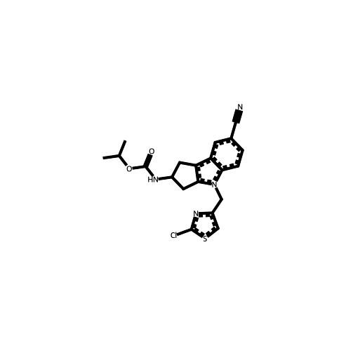 CC(C)OC(=O)NC1Cc2c(n(Cc3csc(Cl)n3)c3ccc(C#N)cc23)C1